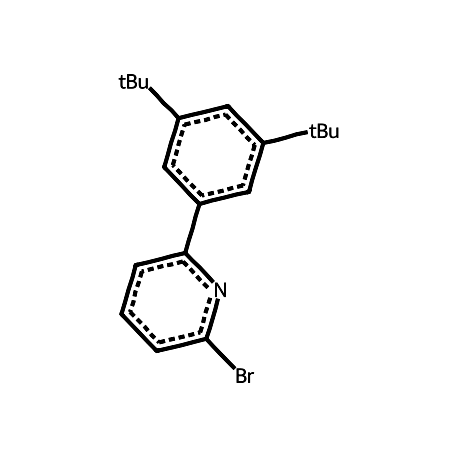 CC(C)(C)c1cc(-c2cccc(Br)n2)cc(C(C)(C)C)c1